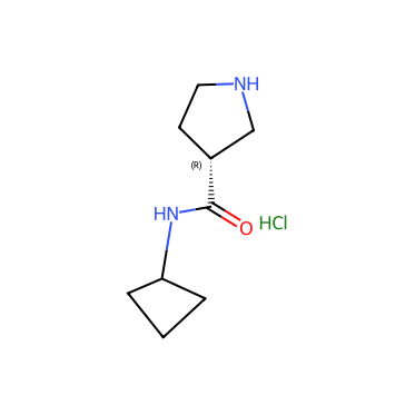 Cl.O=C(NC1CCC1)[C@@H]1CCNC1